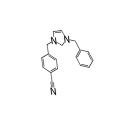 N#Cc1ccc(CN2C=CN(Cc3ccccc3)C2)cc1